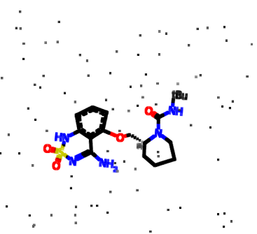 CC(C)(C)NC(=O)N1CCCC[C@@H]1COc1cccc2c1C(N)=NS(=O)(=O)N2